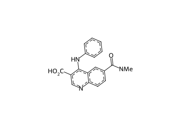 CNC(=O)c1ccc2ncc(C(=O)O)c(Nc3ccccc3)c2c1